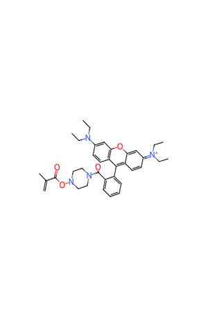 C=C(C)C(=O)ON1CCN(C(=O)c2ccccc2-c2c3ccc(=[N+](CC)CC)cc-3oc3cc(N(CC)CC)ccc23)CC1